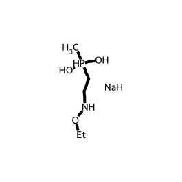 CCONCC[PH](C)(O)O.[NaH]